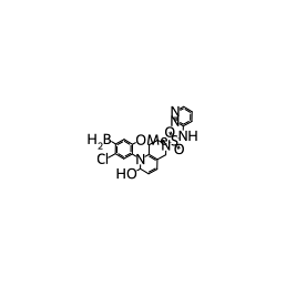 Bc1cc(OC)c(N2C3=C(C=CC2O)CN(S(=O)(=O)Nc2cccnn2)CC3)cc1Cl